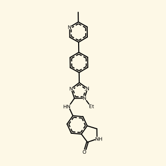 CCn1nc(-c2ccc(-c3ccc(C)nc3)cc2)nc1Nc1ccc2c(c1)CNC2=O